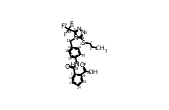 CCCSc1nnc(C(F)(F)F)n1Cc1ccc(NC(=O)c2ccccc2C(=O)O)cc1